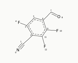 N#Cc1c(F)cc(C=O)c(F)c1F